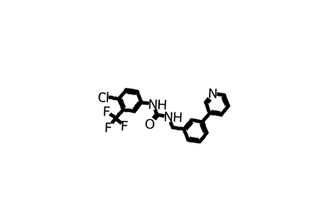 O=C(NCc1cccc(-c2cccnc2)c1)Nc1ccc(Cl)c(C(F)(F)F)c1